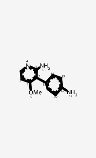 COc1ccnc(N)c1-c1ccc(N)cc1